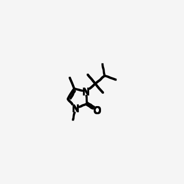 Cc1cn(C)c(=O)n1C(C)(C)C(C)C